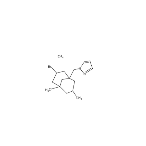 C.CC1CC2(C)CC(Br)CC(Cn3cccn3)(C1)C2